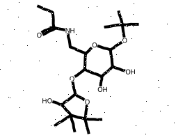 CCC(=O)NCC1OC(OC(C)(C)C)C(O)C(O)C1OC1OC(C)(C)C(C)(C)C1O